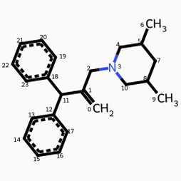 C=C(CN1CC(C)CC(C)C1)C(c1ccccc1)c1ccccc1